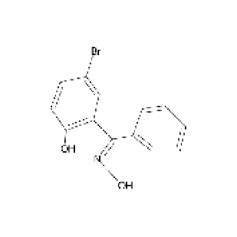 O/N=C(\c1ccccc1)c1cc(Br)ccc1O